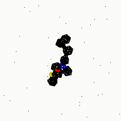 c1ccc(N(c2ccc(-c3cccc(-c4cccc5ccccc45)c3)cc2)c2ccccc2-c2ccc3sc4ccccc4c3c2)cc1